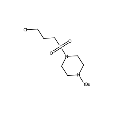 CC(C)(C)N1CCN(S(=O)(=O)CCCCl)CC1